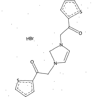 Br.O=C(CN1C=CN(CC(=O)c2cccs2)C1)c1cccs1